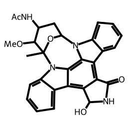 COC1C(NC(C)=O)CC2OC1(C)n1c3ccccc3c3c4c(c5c6ccccc6n2c5c31)C(=O)NC4O